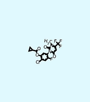 Cn1c(C(F)(F)F)cc(=O)n(-c2cc(OC(=O)C3CC3)c(Cl)cc2F)c1=O